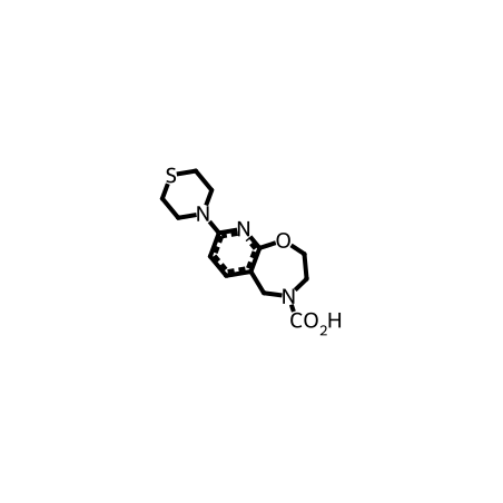 O=C(O)N1CCOc2nc(N3CCSCC3)ccc2C1